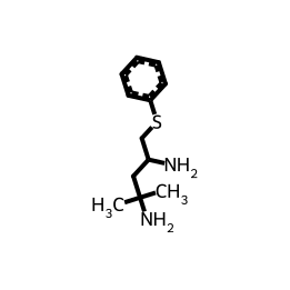 CC(C)(N)CC(N)CSc1ccccc1